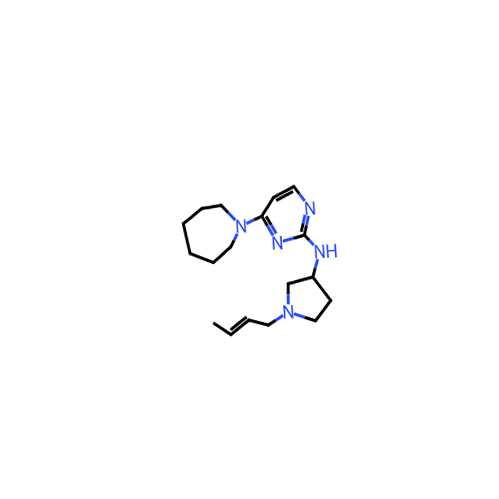 CC=CCN1CCC(Nc2nccc(N3CCCCCC3)n2)C1